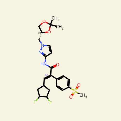 CC1(C)OC[C@@H](Cn2ccc(NC(=O)/C(=C/C3CC(F)C(F)C3)c3ccc(S(C)(=O)=O)cc3)n2)O1